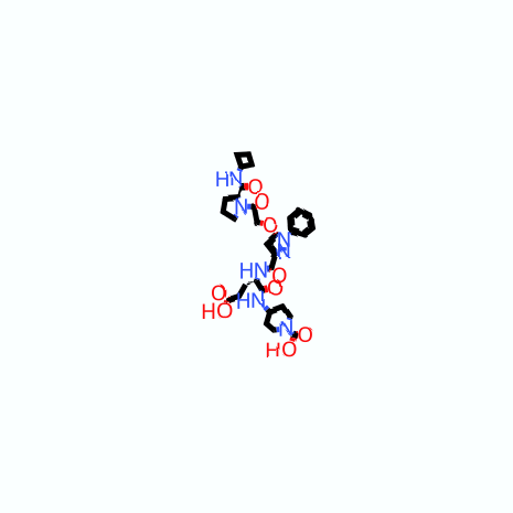 O=C(O)CC[C@H](NC(=O)c1cc(OCC(=O)N2CCC[C@H]2C(=O)NC2CCC2)n(-c2ccccc2)n1)C(=O)NC1CCN(C(=O)O)CC1